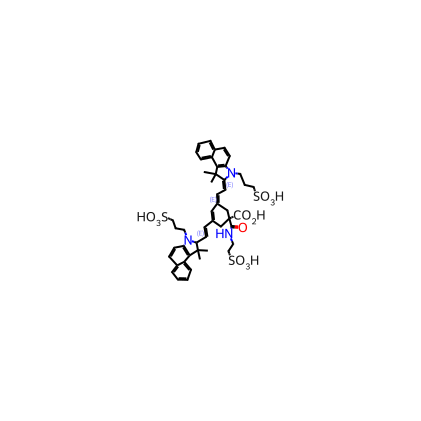 CC1(C)/C(=C\C=C2C=C(/C=C/C3N(CCCS(=O)(=O)O)c4ccc5ccccc5c4C3(C)C)CC(C(=O)O)(C(=O)NCCS(=O)(=O)O)C\2)N(CCCS(=O)(=O)O)c2ccc3ccccc3c21